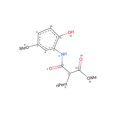 CCCCCC(C(=O)Nc1cc(OC)ccc1O)C(=O)OC